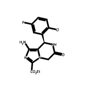 CCOC(=O)c1nc(N)c2n1CC(=O)N[C@@H]2c1cc(F)ccc1Cl